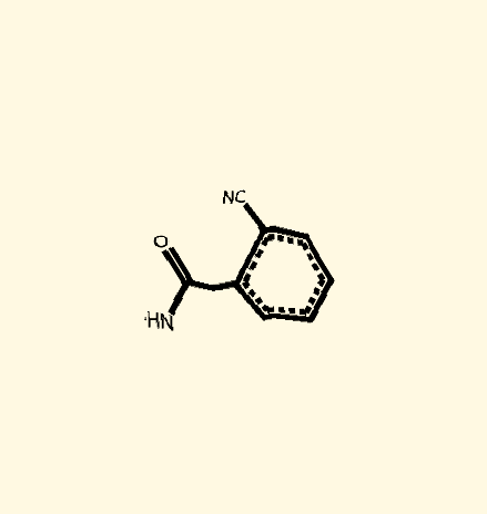 N#Cc1ccccc1C([NH])=O